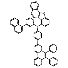 c1ccc(-c2c(-c3ccccc3)c3cc(-c4ccc(N(c5cccc(-c6cccc7ccccc67)c5)c5cccc6oc7c8ccccc8ccc7c56)cc4)ccc3c3ccccc23)cc1